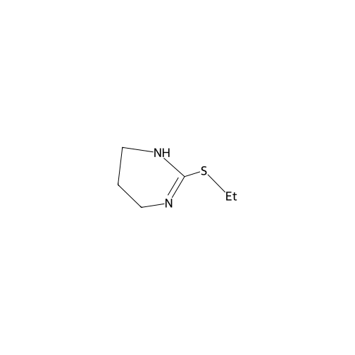 [CH2]CSC1=NCCCN1